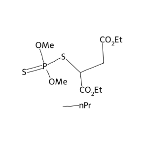 CCCC.CCOC(=O)CC(SP(=S)(OC)OC)C(=O)OCC